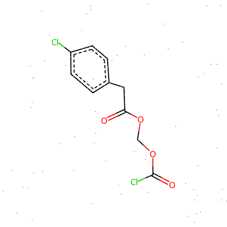 O=C(Cl)OCOC(=O)Cc1ccc(Cl)cc1